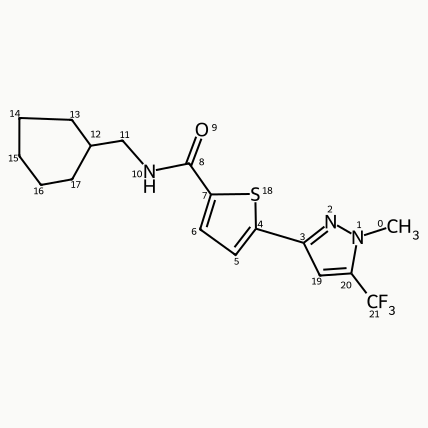 Cn1nc(-c2ccc(C(=O)NCC3CCCCC3)s2)cc1C(F)(F)F